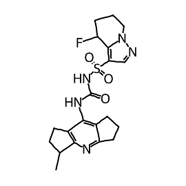 CC1CCc2c1nc1c(c2NC(=O)NS(=O)(=O)c2cnn3c2C(F)CCC3)CCC1